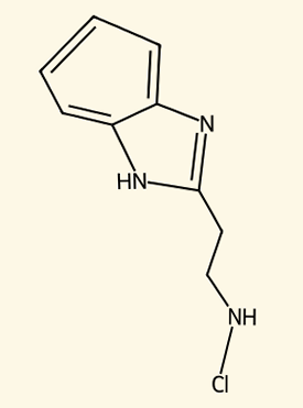 ClNCCc1nc2ccccc2[nH]1